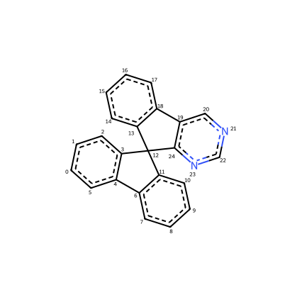 c1ccc2c(c1)-c1ccccc1C21c2ccccc2-c2cncnc21